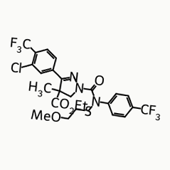 CCOC(=O)C1(C)CN(C(=O)N(SCCOC)c2ccc(C(F)(F)F)cc2)N=C1c1ccc(C(F)(F)F)c(Cl)c1